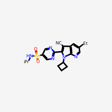 CCc1cnc2c(c1)c(C#N)c(-c1ncc(S(=O)(=O)NC(C)C)cn1)n2C1CCC1